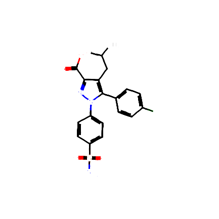 CC(C)Cc1c(C(=O)O)nn(-c2ccc(S(N)(=O)=O)cc2)c1-c1ccc(Cl)cc1